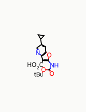 CC(C)(C)OC(=O)Nc1oc2cc(C3CC3)cnc2c1C(=O)O